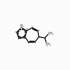 CC(C)C1C=Cc2cc[nH]c2C=C1